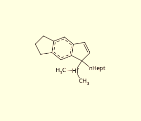 CCCCCCC[C]1([Hf]([CH3])[CH3])C=Cc2cc3c(cc21)CCC3